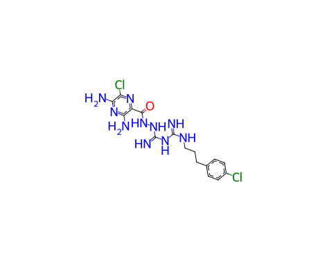 N=C(NCCCc1ccc(Cl)cc1)NC(=N)NNC(=O)c1nc(Cl)c(N)nc1N